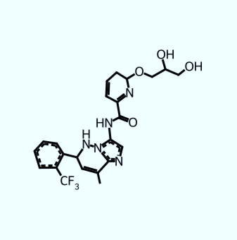 CC1=CC(c2ccccc2C(F)(F)F)Nn2c(NC(=O)C3=NC(OCC(O)CO)CC=C3)cnc21